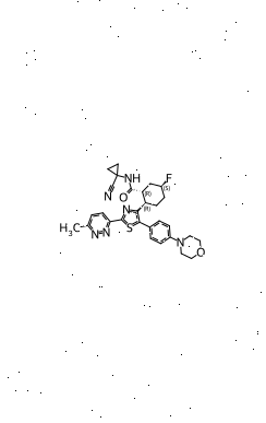 Cc1ccc(-c2nc([C@@H]3CC[C@H](F)C[C@H]3C(=O)NC3(C#N)CC3)c(-c3ccc(N4CCOCC4)cc3)s2)nn1